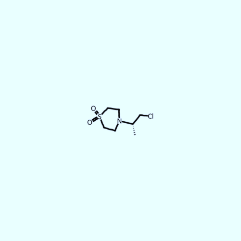 C[C@@H](CCl)N1CCS(=O)(=O)CC1